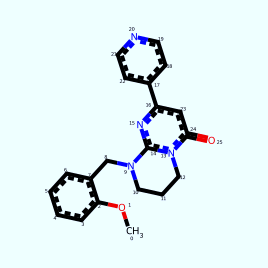 COc1ccccc1CN1CCCn2c1nc(-c1ccncc1)cc2=O